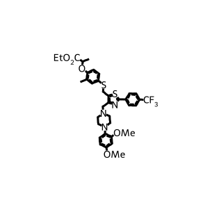 CCOC(=O)C(C)Oc1ccc(SCc2sc(-c3ccc(C(F)(F)F)cc3)nc2CN2CCN(c3ccc(OC)cc3OC)CC2)cc1C